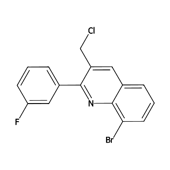 Fc1cccc(-c2nc3c(Br)cccc3cc2CCl)c1